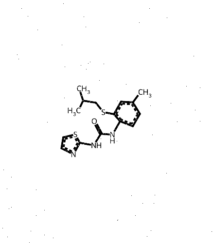 Cc1ccc(NC(=O)Nc2nccs2)c(SCC(C)C)c1